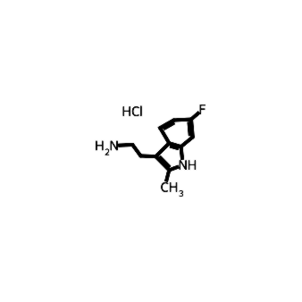 Cc1[nH]c2cc(F)ccc2c1CCN.Cl